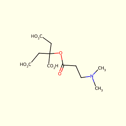 CN(C)CCC(=O)OC(CC(=O)O)(CC(=O)O)C(=O)O